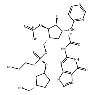 CC(C)C(=O)Nc1nc2c(nnn2[C@@H]2C[C@H](CO)C[C@H]2O[P@](=S)(OCCC#N)OC[C@H]2C[C@@H](Nc3ccncn3)[C@H](F)[C@@H]2O[PH](=O)O)c(=O)[nH]1